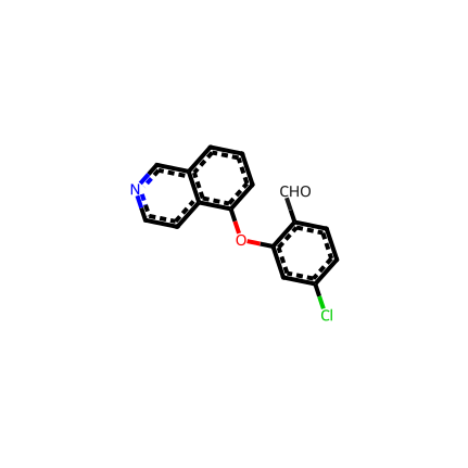 O=Cc1ccc(Cl)cc1Oc1cccc2cnccc12